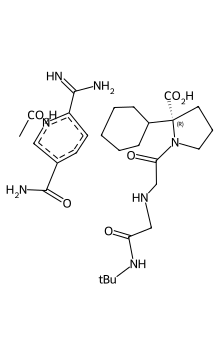 CC(=O)O.CC(C)(C)NC(=O)CNCC(=O)N1CCC[C@]1(C(=O)O)C1CCCCC1.N=C(N)c1ccc(C(N)=O)cn1